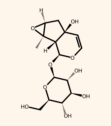 C[C@]12O[C@H]1C[C@]1(O)C=CO[C@@H](O[C@@H]3O[C@H](CO)[C@@H](O)[C@H](O)[C@H]3O)[C@H]21